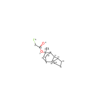 CCC1(OC(=O)CF)CC2CCC1C1C3CCC(C3)C21